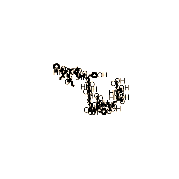 CCCC(=O)OCN(C(=O)[C@@H](NC(=O)[C@H]1CCCCN1C)C(C)CC)[C@H](C[C@@H](OC(C)=O)c1nc(C(=O)N[C@@H](Cc2ccc(O)cc2)C[C@H](C)C(=O)NNC(=O)OCCSSC[C@@H](NC(=O)[C@@H](Cc2ccccc2)NC(=O)[C@H](CC(=O)O)NC(=O)CC[C@H](NC(=O)CC[C@H](NC(=O)N[C@@H](CCC(=O)O)C(=O)O)C(=O)O)C(=O)O)C(=O)O)cs1)C(C)C